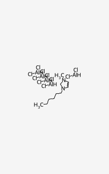 CCCCCCN1C=CN(C)C1.[Cl][AlH][Cl].[Cl][AlH][Cl].[Cl][AlH][Cl].[Cl][AlH][Cl].[Cl][AlH][Cl]